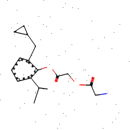 CC(C)c1cccc([C@@H](C)C2CC2)c1OC(=O)COC(=O)CN